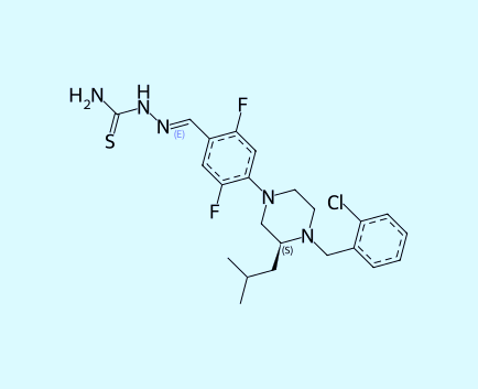 CC(C)C[C@H]1CN(c2cc(F)c(/C=N/NC(N)=S)cc2F)CCN1Cc1ccccc1Cl